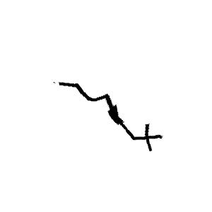 [CH2]CCCC#CCC(C)(C)C